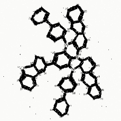 c1ccc(-c2ccc(N3c4cc(-c5ccc6oc7ccccc7c6c5)cc5c4B(c4ccc6cc7ccccc7cc6c43)c3ccc4cc6ccccc6cc4c3N5c3ccc(-c4ccccc4)cc3)cc2)cc1